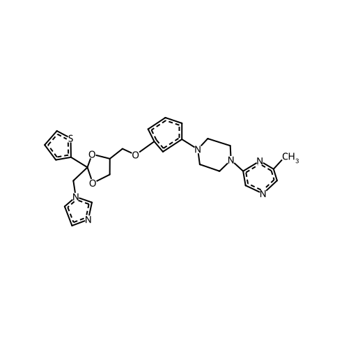 Cc1cncc(N2CCN(c3cccc(OCC4COC(Cn5ccnc5)(c5cccs5)O4)c3)CC2)n1